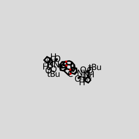 CC(C)(C)OC(=O)N1[C@@H]2CC[C@@H](C2)[C@H]1C(=O)Nc1ccc(-c2cc3ccc2CCc2ccc(c(-c4ccc(NC(=O)[C@@H]5[C@H]6CC[C@H](C6)N5C(=O)OC(C)(C)C)cc4)c2)CC3)cc1